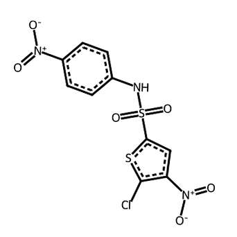 O=[N+]([O-])c1ccc(NS(=O)(=O)c2cc([N+](=O)[O-])c(Cl)s2)cc1